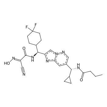 CCCC(=O)N[C@@H](c1cnn2cc([C@@H](NC(=O)/C(C#N)=N/O)C3CCC(F)(F)CC3)nc2c1)C1CC1